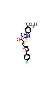 CN1C(=O)/C(=C/c2ccc(-c3ccc(F)cc3)o2)S/C1=N/c1ccc(C(=O)O)cc1